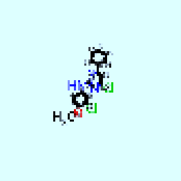 COc1ccc(Nc2nc(Cl)cc(-c3ccccc3)n2)cc1Cl